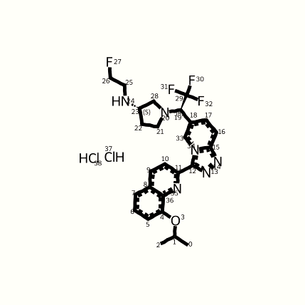 CC(C)Oc1cccc2ccc(-c3nnc4ccc([C@@H](N5CC[C@H](NCCF)C5)C(F)(F)F)cn34)nc12.Cl.Cl